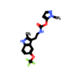 Cc1[nH]c2ccc(OC(F)(F)F)cc2c1CCNC(=O)Oc1ccnn1C